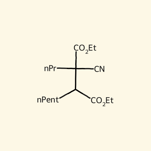 CCCCCC(C(=O)OCC)C(C#N)(CCC)C(=O)OCC